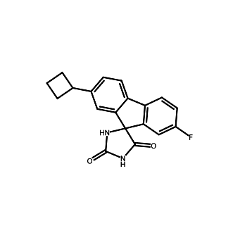 O=C1NC(=O)C2(N1)c1cc(F)ccc1-c1ccc(C3CCC3)cc12